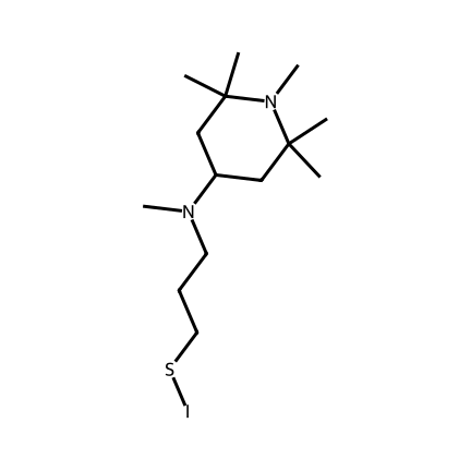 CN(CCCSI)C1CC(C)(C)N(C)C(C)(C)C1